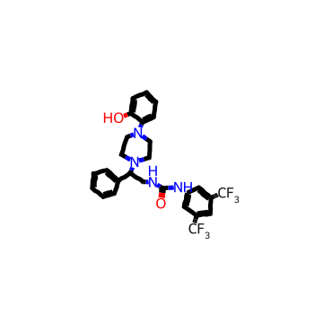 O=C(NCC(c1ccccc1)N1CCN(c2ccccc2O)CC1)Nc1cc(C(F)(F)F)cc(C(F)(F)F)c1